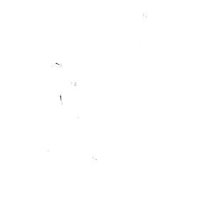 Cc1cc(C(C(=O)N2C[C@H](O)C[C@H]2C(=O)N[C@@H](C)c2ccc(-c3scnc3C(=O)O)cc2)C(C)C)on1